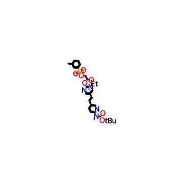 CCOC(COS(=O)(=O)c1cccc(C)c1)Oc1ncc(/C=C/c2ccc(N(C)C(=O)OC(C)(C)C)nc2)cn1